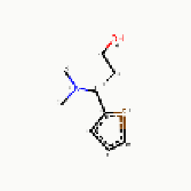 CN(C)[C@H](CCO)c1cccs1